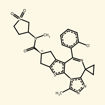 Cc1nnc2n1-c1sc3c(c1C(c1ccccc1Cl)=NC21CC1)C[C@H](C(=O)N(C)C1CCS(=O)(=O)C1)C3